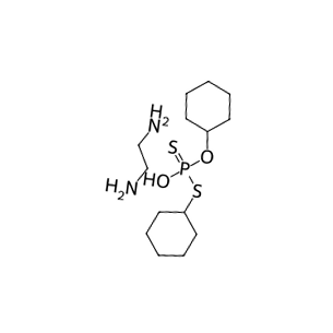 NCCN.OP(=S)(OC1CCCCC1)SC1CCCCC1